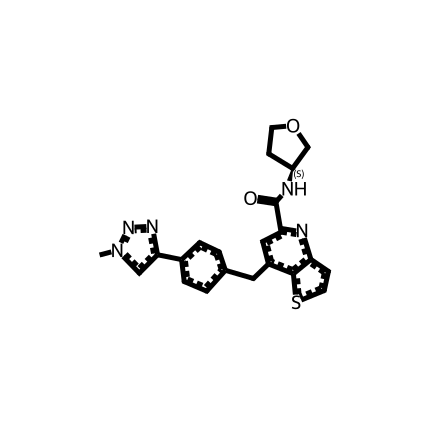 Cn1cc(-c2ccc(Cc3cc(C(=O)N[C@H]4CCOC4)nc4ccsc34)cc2)nn1